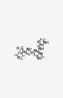 CN(c1ccc(-c2cc3nccnc3c(NC[C@@H]3CNCCO3)n2)cn1)C1CCOCC1